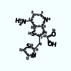 Nc1ccnc2cc(Cc3nccs3)sc12.O=CO